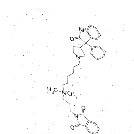 C[N+](C)(CCCCCCN1CCC(C(C(N)=O)(c2ccccc2)c2ccccc2)C1)CCCN1C(=O)c2ccccc2C1=O